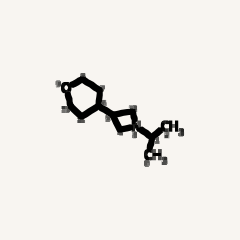 CC(C)N1CC(C2CCOCC2)C1